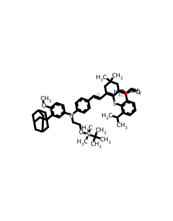 COc1ccc(N(CCO[Si](C)(C)C(C)(C)C)c2ccc(/C=C/C3=C(Sc4c(C(C)C)cccc4C(C)C)C(=C/C=O)/CC(C)(C)C3)cc2)cc1C12CC3CC(CC(C3)C1)C2